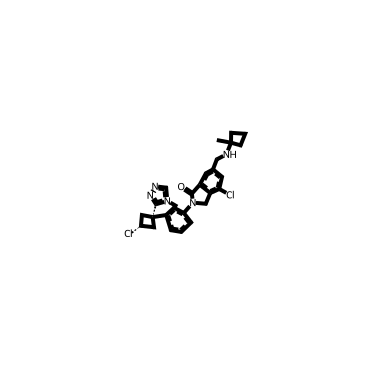 Cn1cnnc1[C@]1(c2cccc(N3Cc4c(Cl)cc(CNC5(C)CCC5)cc4C3=O)c2)C[C@H](Cl)C1